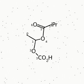 CC(OC(=O)O)OC(=O)C(C)C